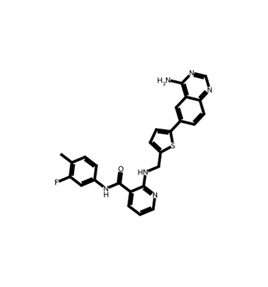 Cc1ccc(NC(=O)c2cccnc2NCc2ccc(-c3ccc4ncnc(N)c4c3)s2)cc1F